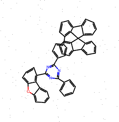 c1ccc(-c2nc(-c3ccc(-c4cccc5c4C4(c6ccccc6-c6ccccc64)c4ccccc4-5)cc3)nc(-c3cccc4oc5ccccc5c34)n2)cc1